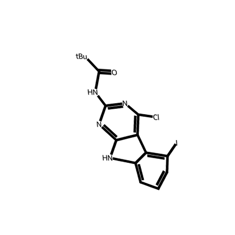 CC(C)(C)C(=O)Nc1nc(Cl)c2c(n1)[nH]c1cccc(I)c12